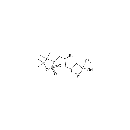 CCC(CC(C)CC(O)(C(F)(F)F)C(F)(F)F)CC1C(C)(C)C(C)(C)OS1(=O)=O